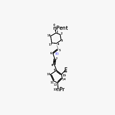 CCCCC[C@H]1CC[C@H](/C=C/C#Cc2ccc(CCC)cc2F)CC1